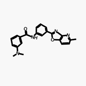 Cc1ccc2oc(-c3cccc(NC(=O)c4cccc(N(C)C)c4)c3)nc2n1